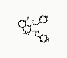 O=C(NCc1ccncc1)C(NCc1ccncc1)c1c(F)cccc1Cl